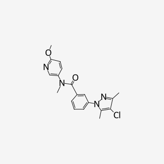 COc1ccc(N(C)C(=O)c2cccc(-n3nc(C)c(Cl)c3C)c2)cn1